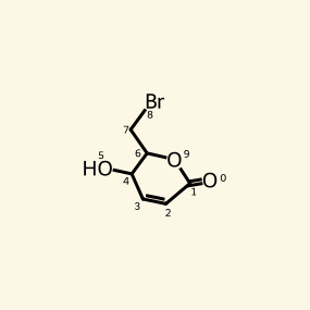 O=C1C=CC(O)C(CBr)O1